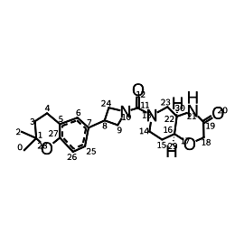 CC1(C)CCc2cc(C3CN(C(=O)N4CC[C@@H]5OCC(=O)N[C@@H]5C4)C3)ccc2O1